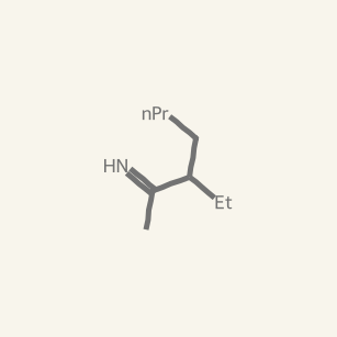 CCCCC(CC)C(C)=N